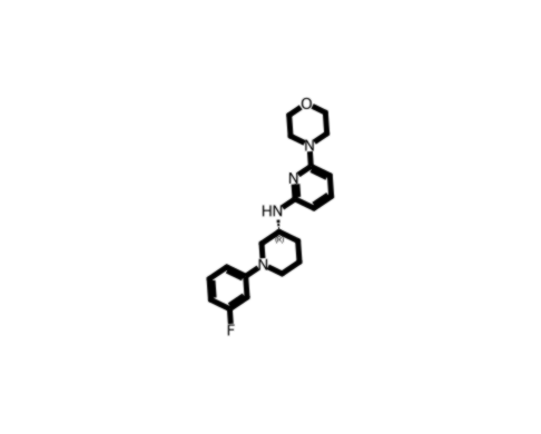 Fc1cccc(N2CCC[C@@H](Nc3cccc(N4CCOCC4)n3)C2)c1